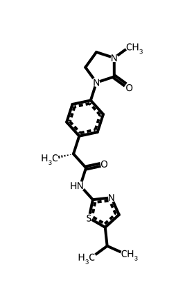 CC(C)c1cnc(NC(=O)[C@H](C)c2ccc(N3CCN(C)C3=O)cc2)s1